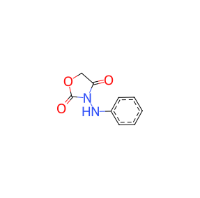 O=C1COC(=O)N1Nc1ccccc1